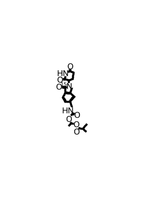 CC(OC(=O)NCc1ccc2c(c1)C[15N](C1CCC(=O)NC1=O)C2=O)OC(=O)C(C)C